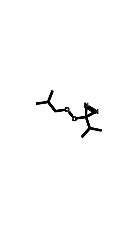 CC(C)COOC1(C(C)C)N=N1